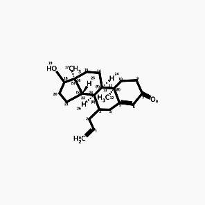 C=CCC1CC2=CC(=O)CC[C@]2(C)[C@@H]2CC[C@]3(C)C(O)CC[C@H]3[C@H]12